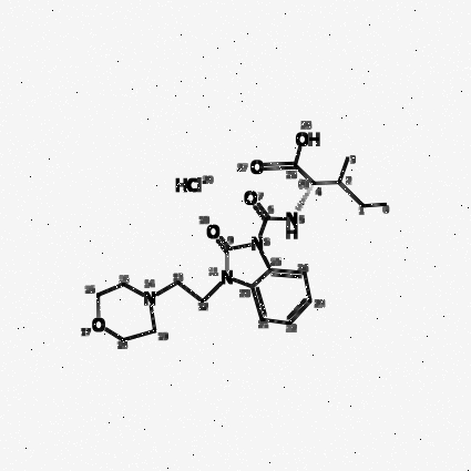 CCC(C)[C@H](NC(=O)n1c(=O)n(CCN2CCOCC2)c2ccccc21)C(=O)O.Cl